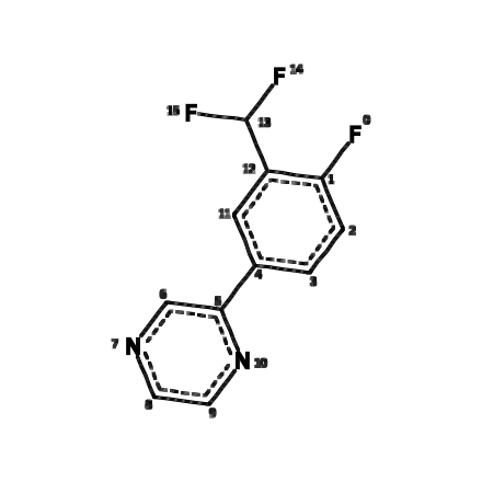 Fc1ccc(-c2cnccn2)cc1C(F)F